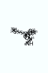 CNCCN(C)C(=O)C(CC(=O)C(C)(C)C)N(C)C(=O)CCCCCSC(C)(C)C